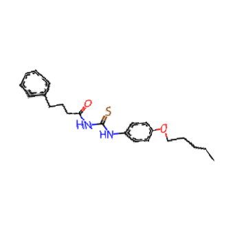 CCCCCOc1ccc(NC(=S)NC(=O)CCCc2ccccc2)cc1